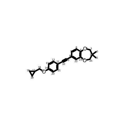 CC1(C)COc2ccc(C#Cc3ccc(OCC4CC4)cc3)cc2OC1